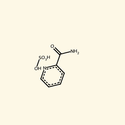 NC(=O)c1ccccn1.O=S(=O)(O)O